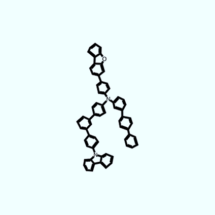 c1ccc(-c2ccc(-c3cccc(N(c4ccc(-c5cccc(-c6ccc(-n7c8ccccc8c8ccccc87)cc6)c5)cc4)c4ccc(-c5ccc6c(c5)oc5ccccc56)cc4)c3)cc2)cc1